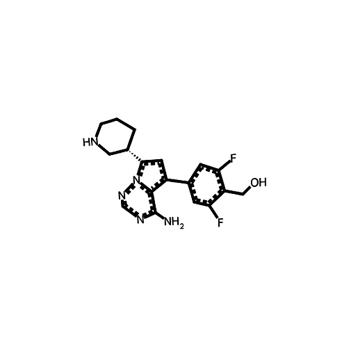 Nc1ncnn2c([C@H]3CCCNC3)cc(-c3cc(F)c(CO)c(F)c3)c12